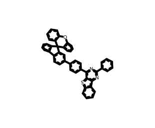 c1ccc(-c2nc(-c3ccc(-c4ccc5c(c4)C4(c6ccccc6Oc6ccccc64)c4ccccc4-5)cc3)c3sc4ccccc4c3n2)cc1